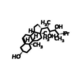 CC(C)[C@H](C)[C@@H](O)[C@H](O)[C@@H](C)[C@H]1CC[C@H]2[C@@H]3CC=C4C[C@@H](O)CC[C@]4(C)[C@H]3CC[C@]12C